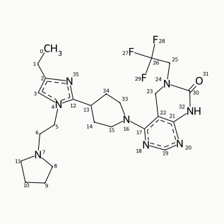 CCc1cn(CCN2CCCC2)c(C2CCN(c3ncnc4c3CN(CC(F)(F)F)C(=O)N4)CC2)n1